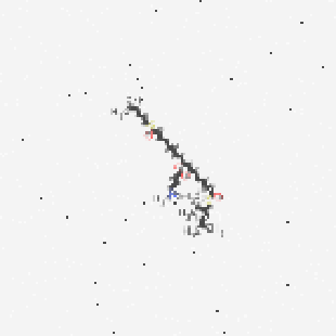 CC(C)CCCCSC(=O)CCCCCCCC(CCCCCCCC(=O)SCC(CCC(C)C)C(C)C)OC(=O)CCCN(C)C